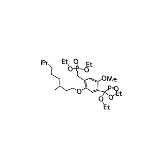 CCOC(OCC)(P=O)c1cc(OCCC(C)CCCC(C)C)c(CP(=O)(OCC)OCC)cc1OC